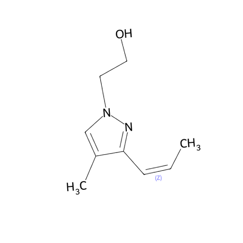 C/C=C\c1nn(CCO)cc1C